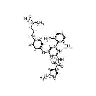 Cc1cccc(C)c1-c1cc(Oc2ccc(NCCN(C)C)nc2)nc(NS(=O)(=O)c2cnn(C)c2)n1